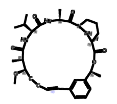 CO[C@@H]1CC/C=C/c2cccc(c2)[C@H](C)OC(=O)[C@@H]2CCCN(N2)C(=O)[C@H](C)NC(=O)[C@H](C(C)C)NC(=O)[C@@H]1C